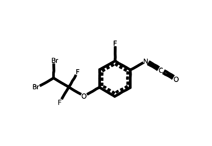 O=C=Nc1ccc(OC(F)(F)C(Br)Br)cc1F